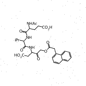 CC(=O)NC(CCC(=O)O)C(=O)NC(C(=O)NC(CC(=O)O)C(=O)COC(=O)Cc1cccc2ccccc12)C(C)C